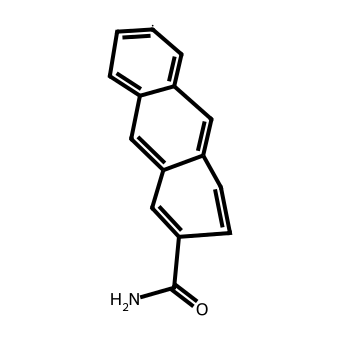 NC(=O)c1ccc2cc3c[c]ccc3cc2c1